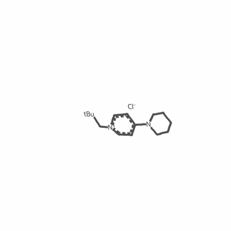 CC(C)(C)C[n+]1ccc(N2CCCCC2)cc1.[Cl-]